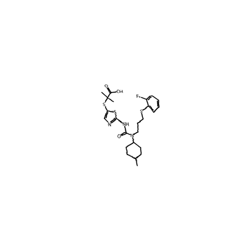 CC1CCC(N(CCCSc2ccccc2F)C(=O)Nc2ncc(SC(C)(C)C(=O)O)s2)CC1